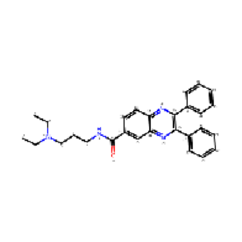 CCN(CC)CCCNC(=O)c1ccc2nc(-c3ccccc3)c(-c3ccccc3)nc2c1